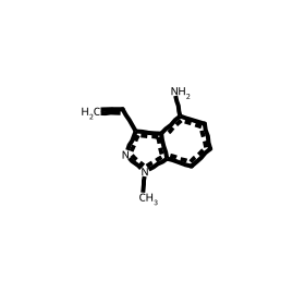 C=Cc1nn(C)c2cccc(N)c12